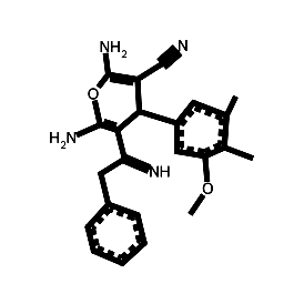 COc1cc(C2C(C#N)=C(N)OC(N)=C2C(=N)Cc2ccccc2)cc(C)c1C